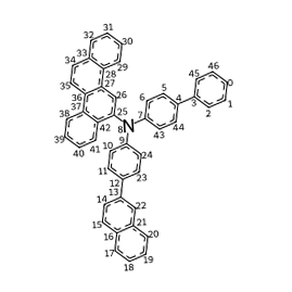 c1ccc(-c2ccc(N(c3ccc(-c4ccc5ccccc5c4)cc3)c3cc4c5ccccc5ccc4c4ccccc34)cc2)cc1